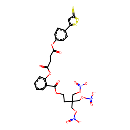 O=C(CCC(=O)Oc1ccccc1C(=O)OCCC(CO[N+](=O)[O-])(CO[N+](=O)[O-])CO[N+](=O)[O-])Oc1ccc(-c2cc(=S)ss2)cc1